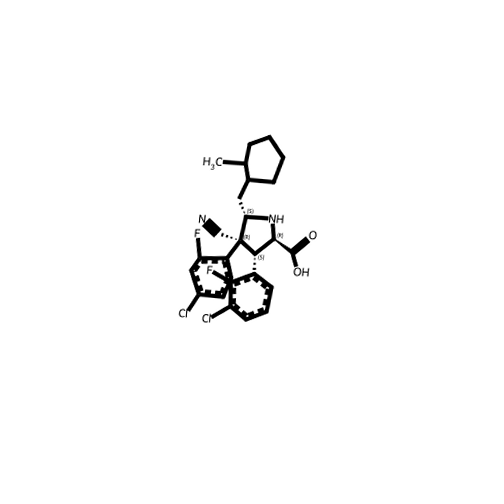 CC1CCCCC1C[C@@H]1N[C@@H](C(=O)O)[C@H](c2cccc(Cl)c2F)[C@@]1(C#N)c1ccc(Cl)cc1F